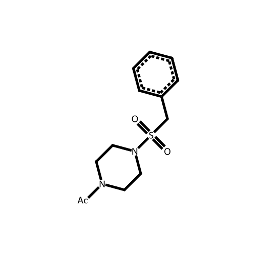 CC(=O)N1CCN(S(=O)(=O)Cc2ccccc2)CC1